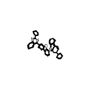 C1=CC(c2ccccc2)Cc2c1c1ccccc1n2-c1cccc2c1oc1cc(-c3nc(-c4ccccc4)nc4ccccc34)ccc12